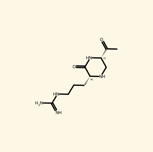 CC(=O)[C@@H]1CN[C@H](CCCNC(=N)N)C(=O)N1